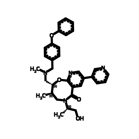 C[C@@H]1CN([C@@H](C)CO)C(=O)c2cc(-c3cccnc3)cnc2O[C@H]1CN(C)Cc1ccc(Oc2ccccc2)cc1